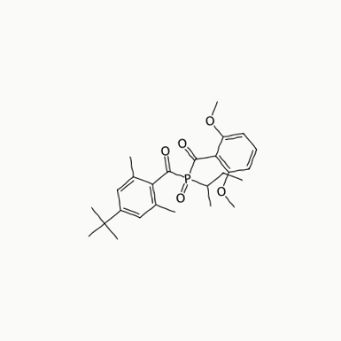 CCC(C)P(=O)(C(=O)c1c(C)cc(C(C)(C)C)cc1C)C(=O)c1c(OC)cccc1OC